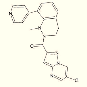 CN1c2c(cccc2-c2ccncc2)CCN1C(=O)c1cc2ncc(Cl)cn2n1